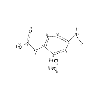 CN(C)c1ccc(OC(=O)O)cc1.Cl.Cl